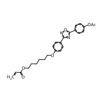 C=CC(=O)OCCCCCCOc1ccc(-c2noc(-c3ccc(OC(C)=O)cc3)n2)cc1